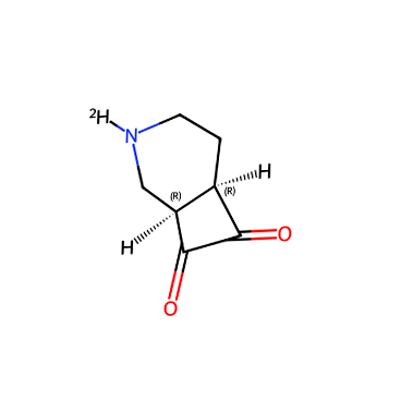 [2H]N1CC[C@H]2C(=O)C(=O)[C@H]2C1